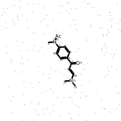 CC(=O)N(C)c1ccc(C(=O)/C=C/N(C)C)cc1